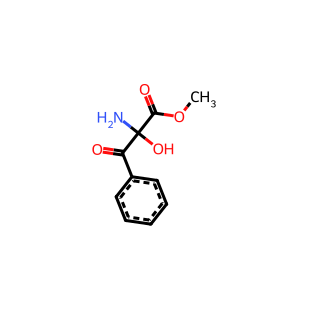 COC(=O)C(N)(O)C(=O)c1ccccc1